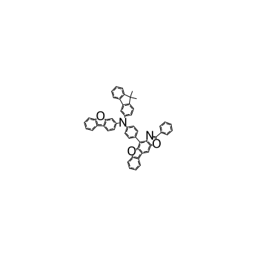 CC1(C)c2ccccc2-c2cc(N(c3ccc(-c4c5nc(-c6ccccc6)oc5cc5c4oc4ccccc45)cc3)c3ccc4c(c3)oc3ccccc34)ccc21